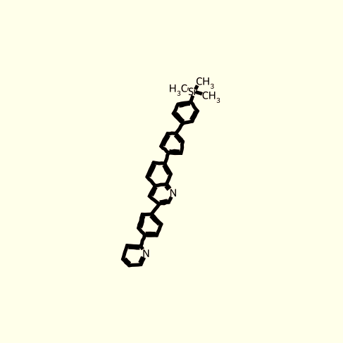 C[Si](C)(C)c1ccc(-c2ccc(-c3ccc4cc(-c5ccc(-c6ccccn6)cc5)cnc4c3)cc2)cc1